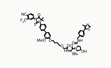 COc1cc(-c2ccc(N3C(=S)N(c4ccc(C#N)c(C(F)(F)F)c4)C(=O)C3(C)C)cc2)ccc1OCCCCOCC(=O)N[C@H](C(=O)N1C[C@H](O)C[C@H]1C(=O)NCc1ccc(-c2scnc2C)cc1)C(C)(C)C